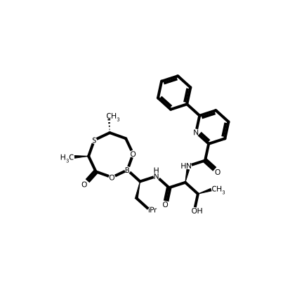 CC(C)C[C@H](NC(=O)[C@@H](NC(=O)c1cccc(-c2ccccc2)n1)[C@@H](C)O)B1OC[C@@H](C)S[C@H](C)C(=O)O1